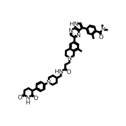 Cc1cc(-c2c[nH]c3ncc(-c4cc(C)c5c(c4)CCN(CCC(=O)NCC4CCN(c6ccc(C7CCC(=O)NC7=O)cc6)CC4)C5)nc23)ccc1C(=O)N(C)C